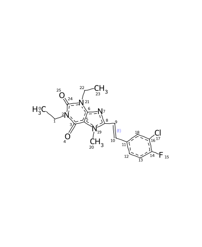 CCn1c(=O)c2c(nc(/C=C/c3ccc(F)c(Cl)c3)n2C)n(CC)c1=O